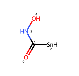 O=[C]([SnH])NO